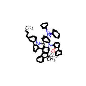 CCCCc1ccc2c(c1)c1cccc3c1n2B1c2ccc(N(c4ccccc4)c4ccccc4)cc2N(c2cccc4c2oc2ccccc24)c2cc4c(c-3c21)-c1ccccc1C4(C)C